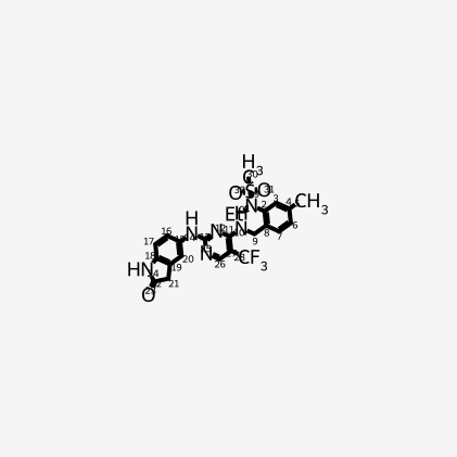 CCN(c1cc(C)ccc1CNc1nc(Nc2ccc3c(c2)CC(=O)N3)ncc1C(F)(F)F)S(C)(=O)=O